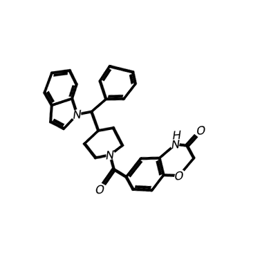 O=C1COc2ccc(C(=O)N3CCC(C(c4ccccc4)n4ccc5ccccc54)CC3)cc2N1